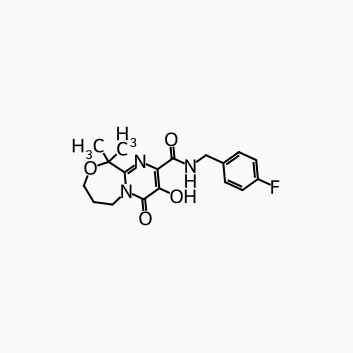 CC1(C)OCCCn2c1nc(C(=O)NCc1ccc(F)cc1)c(O)c2=O